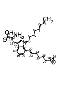 C=CC=CCCCCn1cc(C[C@H](N)C(=O)O)c2cccc(C=CCCCCC3CO3)c21